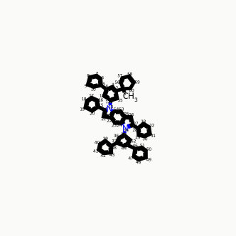 CC1(c2cc(-c3ccccc3)cc(-n3c(-c4ccccc4)cc4cc5c(cc(-c6ccccc6)n5-c5cc(-c6ccccc6)cc(-c6ccccc6)c5)cc43)c2)C=CC=CC1